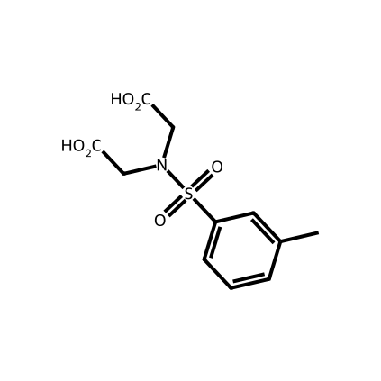 Cc1cccc(S(=O)(=O)N(CC(=O)O)CC(=O)O)c1